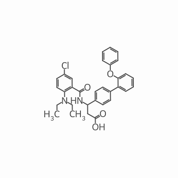 CCN(CC)c1ccc(Cl)cc1C(=O)NC(CC(=O)O)c1ccc(-c2ccccc2Oc2ccccc2)cc1